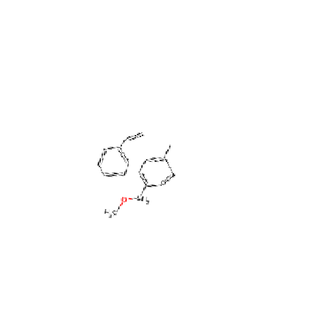 C=Cc1ccccc1.Cc1ccc([SiH2]O[SiH3])cc1